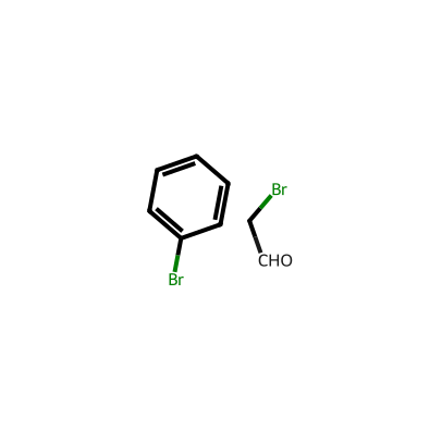 Brc1ccccc1.O=CCBr